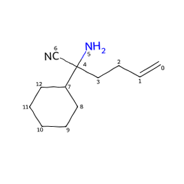 C=CCCC(N)(C#N)C1CCCCC1